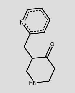 O=C1CCNCC1Cc1ccccn1